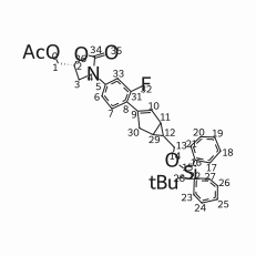 CC(=O)OC[C@H]1CN(c2ccc(C3=CC4C(CO[Si](c5ccccc5)(c5ccccc5)C(C)(C)C)C4C3)c(F)c2)C(=O)O1